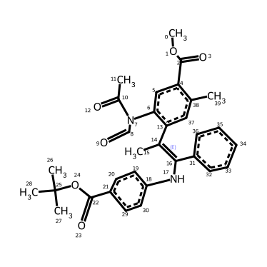 COC(=O)c1cc(N(C=O)C(C)=O)c(/C(C)=C(/Nc2ccc(C(=O)OC(C)(C)C)cc2)c2ccccc2)cc1C